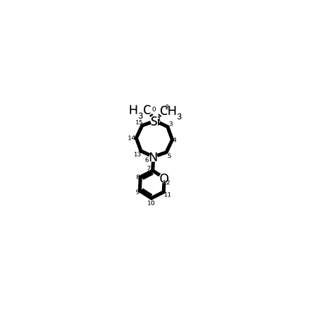 C[Si]1(C)CCCN(C2=CC=CCO2)CCC1